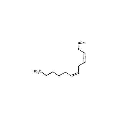 CCCCCCCCC/C=C\C/C=C\CCCCC(=O)O